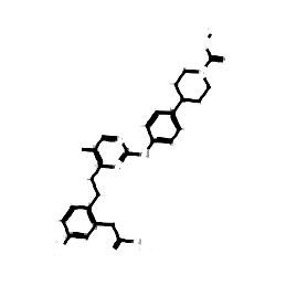 CC(C)(C)OC(=O)N1CCC(c2ccc(Nc3ncc(C(F)(F)F)c(CCc4ccc(C(F)(F)F)cc4CC(N)=O)n3)cc2)CC1